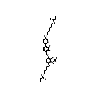 C=CC(=O)OCCCCCCOC1CCC(c2ccc(COc3ccc(OCCCCOC(=O)C=C)c4c3OC(F)(F)O4)c(F)c2F)CC1